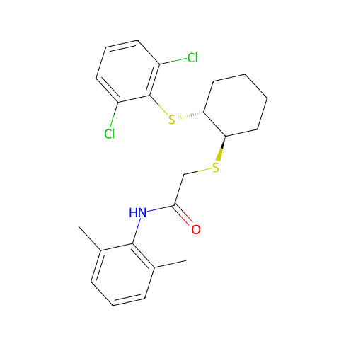 Cc1cccc(C)c1NC(=O)CS[C@@H]1CCCC[C@H]1Sc1c(Cl)cccc1Cl